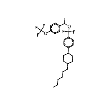 CCCCCCC1CCC(c2ccc(C(F)(F)OC(C)c3ccc(OC(F)(F)F)cc3)cc2)CC1